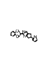 c1ccc(C2Cc3cnc(C4COc5ccccc5OC4)nc3C2)nc1